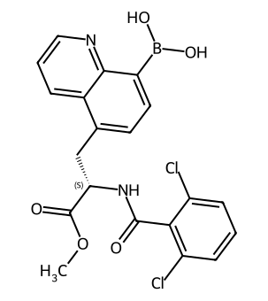 COC(=O)[C@H](Cc1ccc(B(O)O)c2ncccc12)NC(=O)c1c(Cl)cccc1Cl